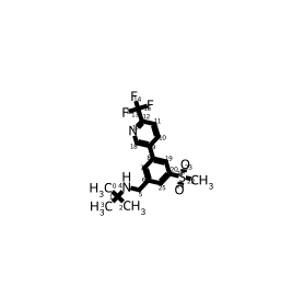 CC(C)(C)NCc1cc(-c2ccc(C(F)(F)F)nc2)cc(S(C)(=O)=O)c1